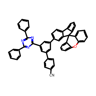 N#Cc1ccc(-c2cc(-c3ccc4c(c3)C3(c5ccccc5Oc5ccccc53)c3ccccc3-4)cc(-c3nc(-c4ccccc4)nc(-c4ccccc4)n3)c2)cc1